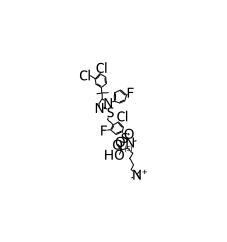 CN([C@@H](CCCC[N+](C)(C)C)C(=O)O)S(=O)(=O)c1cc(F)c(CSC2=NCC(C(C)(C)c3ccc(Cl)c(Cl)c3)N2c2ccc(F)cc2)c(Cl)c1